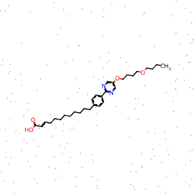 CCCCOCCCCOc1cnc(-c2ccc(CCCCCCCCC/C=C/C(=O)O)cc2)nc1